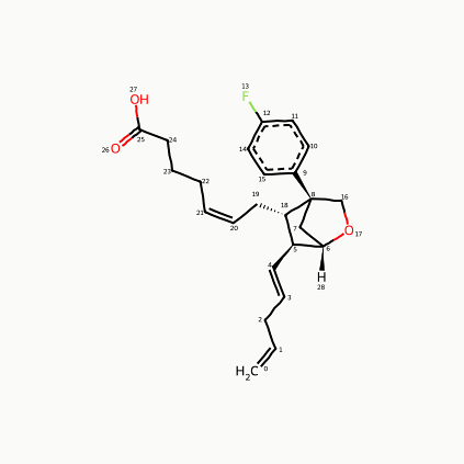 C=CC/C=C/[C@@H]1[C@@H]2C[C@@](c3ccc(F)cc3)(CO2)[C@H]1C/C=C\CCCC(=O)O